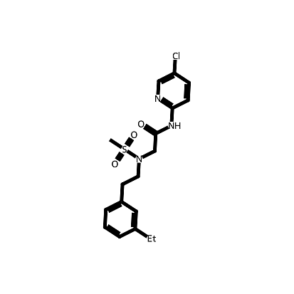 CCc1cccc(CCN(CC(=O)Nc2ccc(Cl)cn2)S(C)(=O)=O)c1